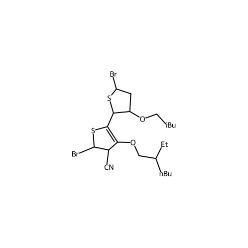 CCCCC(CC)COC1=C(C2SC(Br)CC2OCC(C)CC)SC(Br)C1C#N